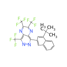 CC(C)(C)c1cc(-c2nnc(C(F)(F)F)c3nc(C(F)(F)F)c(C(F)(F)F)nc23)cc2ccccc12